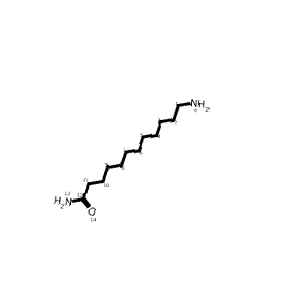 NCCCCCCCCCCCC(N)=O